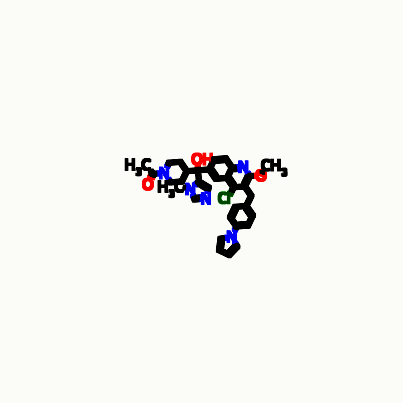 COc1nc2ccc(C(O)(c3cncn3C)C3CCN(C(C)=O)CC3)cc2c(Cl)c1Cc1ccc(-n2cccc2)cc1